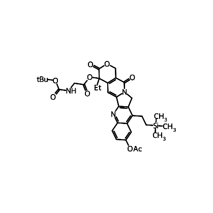 CCC1(OC(=O)CNC(=O)OC(C)(C)C)C(=O)OCc2c1cc1n(c2=O)Cc2c-1nc1ccc(OC(C)=O)cc1c2CC[Si](C)(C)C